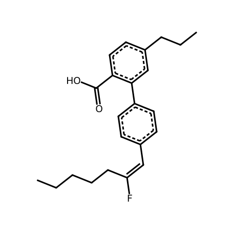 CCCCC/C(F)=C\c1ccc(-c2cc(CCC)ccc2C(=O)O)cc1